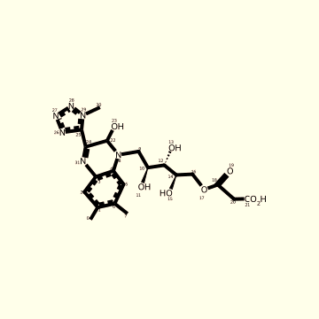 Cc1cc2c(cc1C)N(C[C@H](O)[C@H](O)[C@H](O)COC(=O)CC(=O)O)C(O)C(c1nnnn1C)=N2